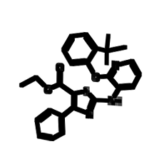 CCOC(=O)c1sc(Nc2cccnc2Oc2ccccc2C(C)(C)C)nc1-c1ccccc1